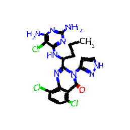 CCCC(Nc1nc(N)nc(N)c1Cl)c1nc2c(Cl)ccc(Cl)c2c(=O)n1-c1cc[nH]n1